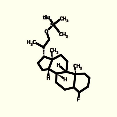 CC(CO[Si](C)(C)C(C)(C)C)[C@H]1CC[C@H]2[C@@H]3CCC4C(F)CCC[C@]4(C)[C@H]3CC[C@]12C